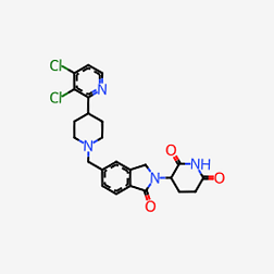 O=C1CCC(N2Cc3cc(CN4CCC(c5nccc(Cl)c5Cl)CC4)ccc3C2=O)C(=O)N1